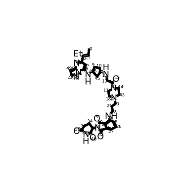 C/C=C(\CC)c1cc(N[C@H]2CC[C@H](NCC(=O)N3CCN(CCCNc4cccc5c4C(=O)N(C4CCC(=O)NC4=O)C5=O)CC3)C2)n2nccc2n1